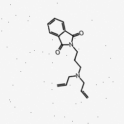 C=CCN(CC=C)CCCN1C(=O)c2ccccc2C1=O